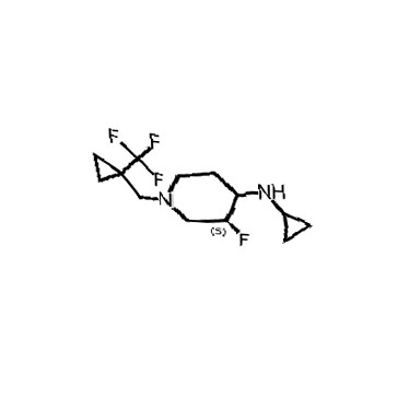 F[C@H]1CN(CC2(C(F)(F)F)CC2)CCC1NC1CC1